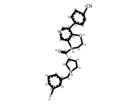 N#Cc1ccc(-c2cncc3c2OCCN3C(=O)[C@@H]2CCN(Cc3cccc(F)c3)C2)cc1